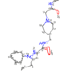 CC(C)Cc1cc(C(=O)NCC2CCN(CC(=O)NC(C)(C)C)CC2)nn1-c1ccccc1